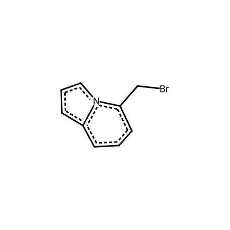 BrCc1cccc2cccn12